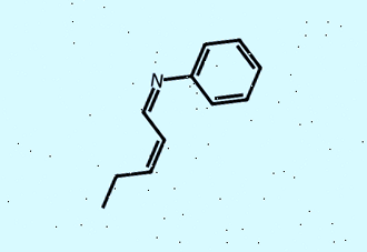 CC/C=C\C=N/c1ccccc1